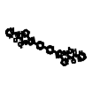 CO[C@H](C)[C@@H](C(=O)Nc1ncccn1)N1CCCC1c1nc(-c2ccc(-c3ccc(-c4c[nH]c(C5CCCN5[C@H](C(=O)Nc5ncccn5)[C@@H](C)OC)n4)cc3)cc2)c[nH]1